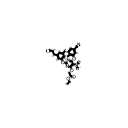 CCOC(=O)COc1nc(Oc2cc(C)cc(CCCl)c2)nc(Oc2cc(C#N)ccc2Cl)c1[N+](=O)[O-]